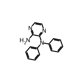 Nc1nccnc1N(c1ccccc1)c1ccccc1